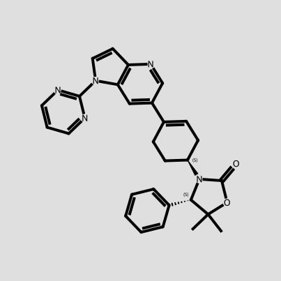 CC1(C)OC(=O)N([C@@H]2CC=C(c3cnc4ccn(-c5ncccn5)c4c3)CC2)[C@H]1c1ccccc1